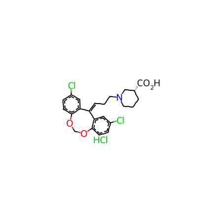 Cl.O=C(O)[C@@H]1CCCN(CCC=C2c3cc(Cl)ccc3OCOc3ccc(Cl)cc32)C1